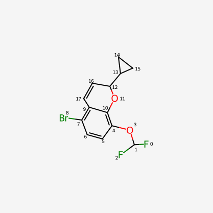 FC(F)Oc1ccc(Br)c2c1OC(C1CC1)C=C2